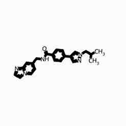 CC(C)Cn1cc(-c2ccc(C(=O)NCc3ccn4ccnc4c3)cc2)cn1